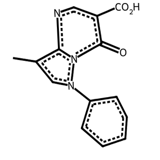 Cc1cn(-c2ccccc2)n2c(=O)c(C(=O)O)cnc12